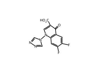 O=C(O)c1cn(-n2cnnc2)c2cc(F)c(F)cc2c1=O